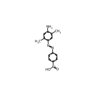 Cc1cc(/N=N/c2ccc([N+](=O)O)cc2)c(C)cc1N